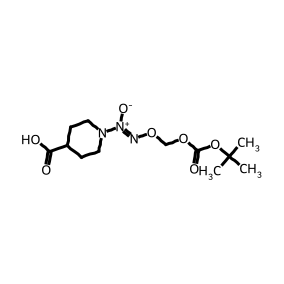 CC(C)(C)OC(=O)OCO/N=[N+](\[O-])N1CCC(C(=O)O)CC1